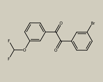 O=C(C(=O)c1cccc(OC(F)F)c1)c1cccc(Br)c1